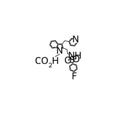 O=C(O)CCn1c(CCNS(=O)(=O)c2ccc(F)cc2)c(Cc2cccnc2)c2ccccc21